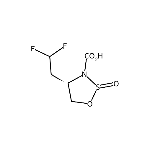 O=C(O)N1[C@@H](CC(F)F)COS1=O